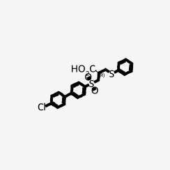 O=C(O)[C@H](CSc1ccccc1)CS(=O)(=O)c1ccc(-c2ccc(Cl)cc2)cc1